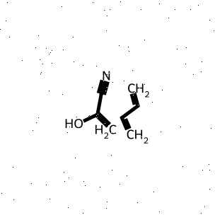 C=C(O)C#N.C=CC=C